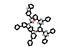 c1ccc(-c2ccc3c(c2)c2cc4c5cc(-c6ccccc6)ccc5n(-c5nccc(-c6ccc7sc8ccccc8c7c6)n5)c4cc2n3-c2cc(-c3nc(-c4ccccc4)nc(-c4ccccc4)n3)cc(-c3nc(-c4ccccc4)nc(-c4ccccc4)n3)c2)cc1